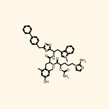 Cc1cc(O)cc(C)c1CC(NC(=O)C(CCCn1ccnc1N)OC(N)=O)C(=O)NC(Cc1cn(C)c2ccccc12)c1nc(Cc2ccc(-c3ccccc3)cc2)no1